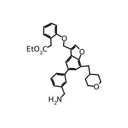 CCOC(=O)Cc1ccccc1OCc1coc2c(CC3CCOCC3)cc(-c3cccc(CN)c3)cc12